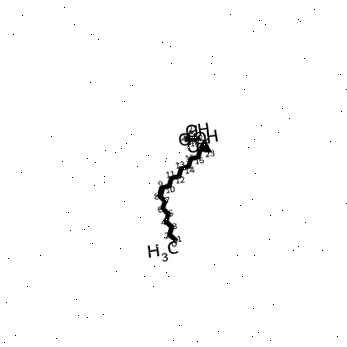 CCCCCCCC/C=C\CCCCCCCC1(OP(=O)(O)O)CC1